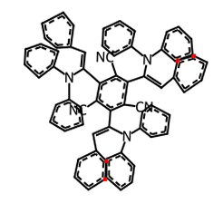 N#Cc1c(C(=Cc2ccccc2)N(c2ccccc2)c2ccccc2)c(C#N)c(C(=Cc2ccccc2)N(c2ccccc2)c2ccccc2)c(C#N)c1C(=Cc1ccccc1)N(c1ccccc1)c1ccccc1